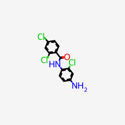 Nc1ccc(NC(=O)c2ccc(Cl)cc2Cl)c(Cl)c1